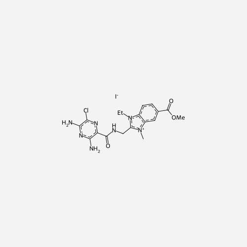 CCn1c(CNC(=O)c2nc(Cl)c(N)nc2N)[n+](C)c2cc(C(=O)OC)ccc21.[I-]